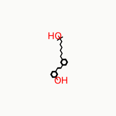 CC(C)(O)CCCCCCc1cccc(C=Cc2cccc(O)c2)c1